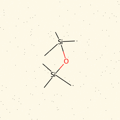 [CH2][Si](C)(C)O[Si]([CH2])(C)C